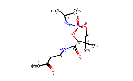 COC(=O)CCNC(=O)[C@@H]1O[P@@](=O)(NC(C)C(=O)O)OCC1(C)C